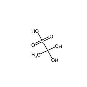 CC(O)(O)S(=O)(=O)O